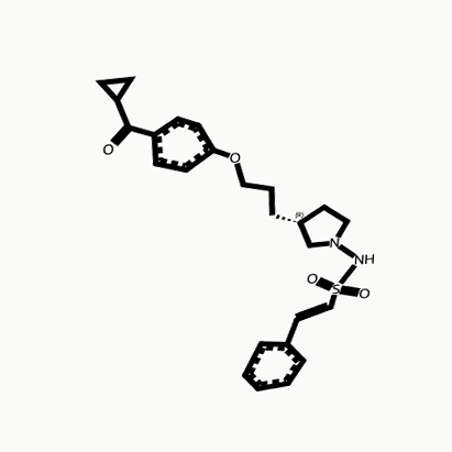 O=C(c1ccc(OCCC[C@@H]2CCN(NS(=O)(=O)C=Cc3ccccc3)C2)cc1)C1CC1